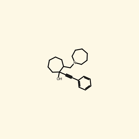 OC1(C#Cc2ccccc2)CCCCCC1CN1CCCCCC1